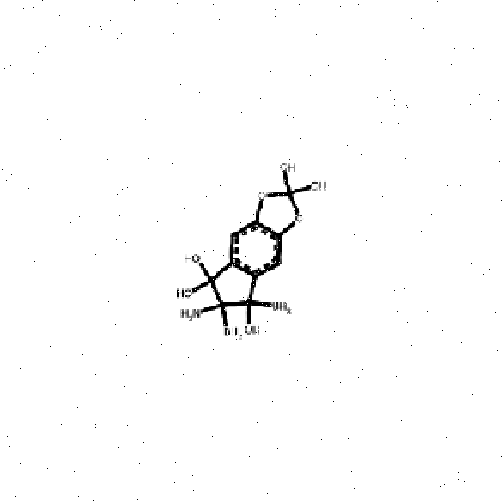 BC1(O)c2cc3c(cc2C(O)(O)C1(B)N)OC(O)(O)O3